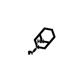 CC(C)N1CC2CCCC(C1)N2